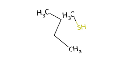 CCCC.CS